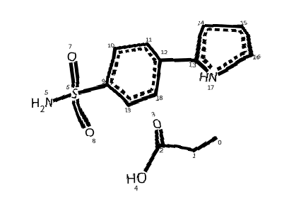 CCC(=O)O.NS(=O)(=O)c1ccc(-c2ccc[nH]2)cc1